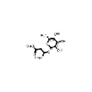 CCCCCCCC(CC(=O)OC)O[C@@H]1O[C@@H](C)[C@H](O)[C@@H](O)[C@H]1O